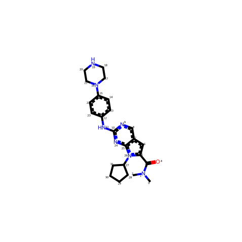 CN(C)C(=O)c1cc2cnc(Nc3ccc(N4CCNCC4)cc3)nc2n1C1CCCC1